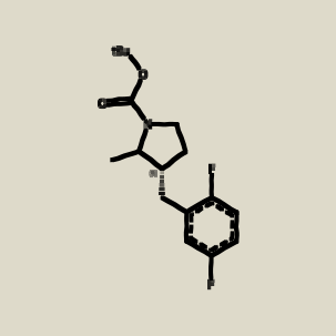 CC1[C@@H](Cc2cc(F)ccc2F)CCN1C(=O)OC(C)(C)C